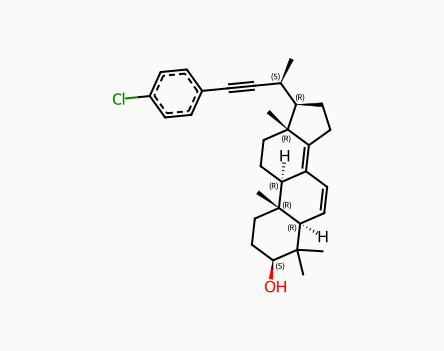 C[C@H](C#Cc1ccc(Cl)cc1)[C@H]1CCC2=C3C=C[C@H]4C(C)(C)[C@@H](O)CC[C@]4(C)[C@H]3CC[C@@]21C